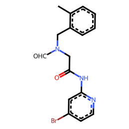 Cc1ccccc1CN(C=O)CC(=O)Nc1cc(Br)ccn1